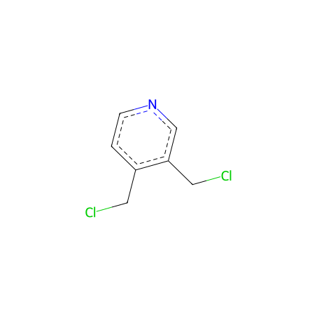 ClCc1ccncc1CCl